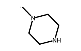 [CH2]N1CCNCC1